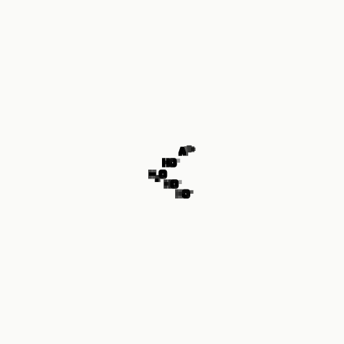 O.[Al+3].[OH-].[OH-].[OH-]